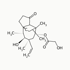 C=C[C@]1(C)C[C@@H](OC(=O)CO)C2(C)C(C)CC[C@]3(CCC(=O)C23)[C@@H](C)[C@@H]1O